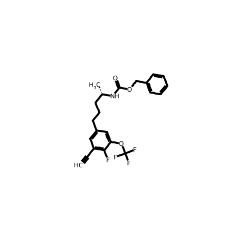 C#Cc1cc(CCC[C@H](C)NC(=O)OCc2ccccc2)cc(OC(F)(F)F)c1F